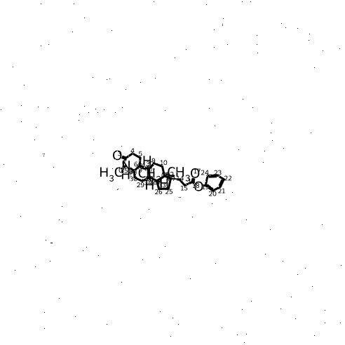 CN1C(=O)CC[C@]2(C)[C@H]3CC[C@]4(C)[C@@H](CCC(=O)Oc5ccccc5)CC[C@H]4[C@@H]3CC[C@@H]12